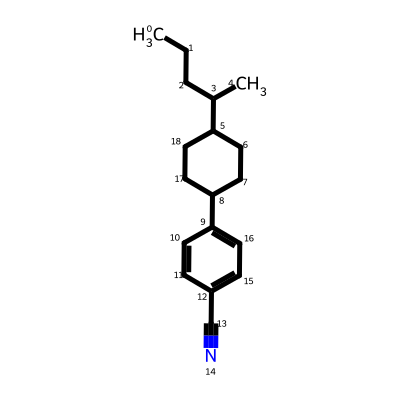 CCCC(C)C1CCC(c2ccc(C#N)cc2)CC1